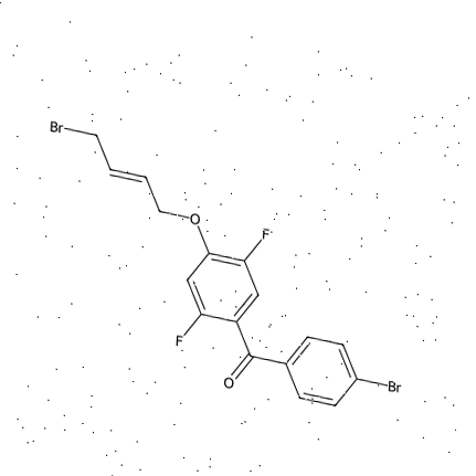 O=C(c1ccc(Br)cc1)c1cc(F)c(OCC=CCBr)cc1F